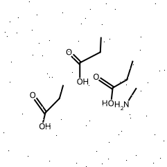 CCC(=O)O.CCC(=O)O.CCC(=O)O.CN